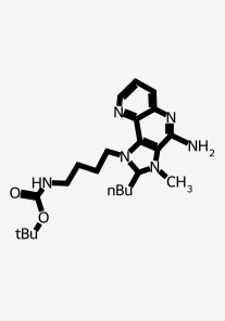 CCCCC1N(C)c2c(N)nc3cccnc3c2N1CCCCNC(=O)OC(C)(C)C